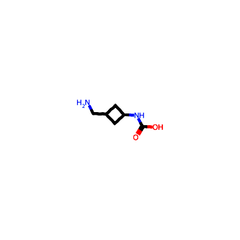 NCC1CC(NC(=O)O)C1